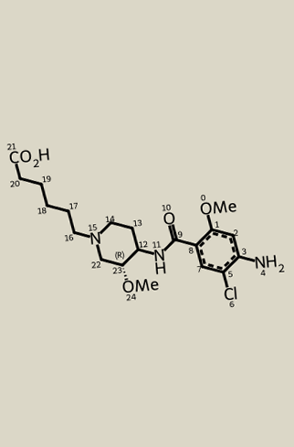 COc1cc(N)c(Cl)cc1C(=O)NC1CCN(CCCCCC(=O)O)C[C@H]1OC